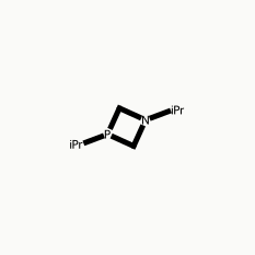 CC(C)N1CP(C(C)C)C1